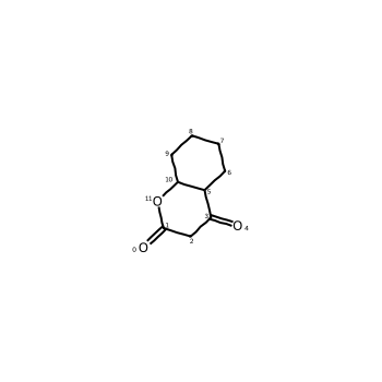 O=C1CC(=O)C2CCCCC2O1